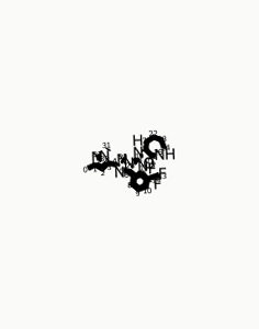 Cc1cc(-c2nc3c4cccc(C(F)(F)F)c4nc(N[C@@H]4CCCCNC4=O)n3n2)n(C)n1